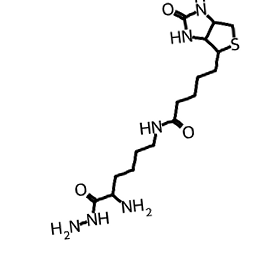 NNC(=O)C(N)CCCCNC(=O)CCCCC1SCC2NC(=O)NC21